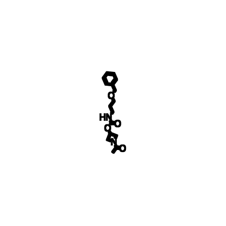 CC(=O)N1CC(OC(=O)NCCCOCc2ccccc2)C1